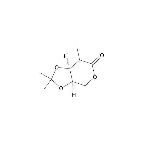 CC1C(=O)OC[C@H]2OC(C)(C)O[C@@H]12